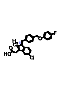 CC1=C(CC(=O)O)c2cc(Cl)ccc2/C1=C\c1ccc(COc2ccc(F)cc2)cc1